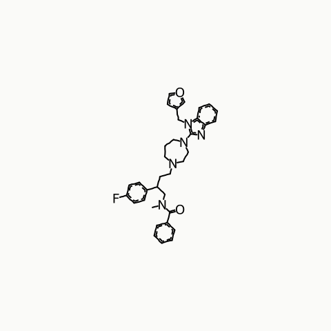 CN(CC(CCN1CCCN(c2nc3ccccc3n2Cc2ccoc2)CC1)c1ccc(F)cc1)C(=O)c1ccccc1